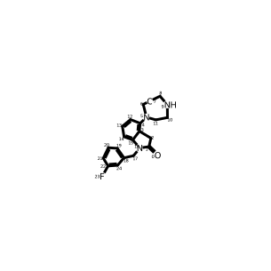 O=C1Cc2c(N3CCCNCC3)cccc2N1Cc1cccc(F)c1